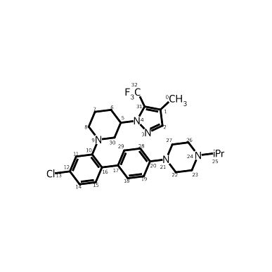 Cc1cnn(C2CCCN(c3cc(Cl)ccc3-c3ccc(N4CCN(C(C)C)CC4)cc3)C2)c1C(F)(F)F